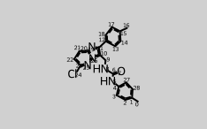 Cc1ccc(NC(=O)NCc2c(-c3ccc(C)cc3)nc3ccc(Cl)nn23)cc1